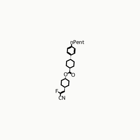 CCCCCc1ccc([C@H]2CC[C@H](C(=O)O[C@H]3CC[C@H](C=C(F)C#N)CC3)CC2)cc1